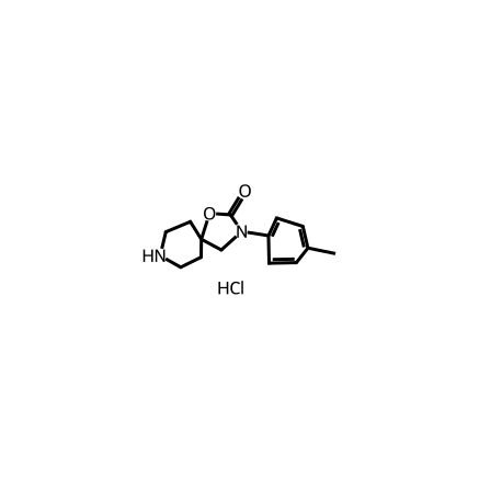 Cc1ccc(N2CC3(CCNCC3)OC2=O)cc1.Cl